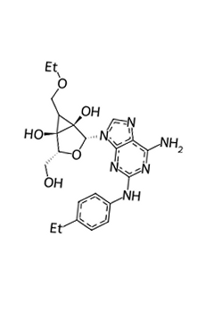 CCOCC1[C@@]2(O)[C@@H](CO)O[C@@H](n3cnc4c(N)nc(Nc5ccc(CC)cc5)nc43)[C@@]12O